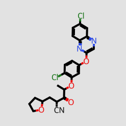 CC(Oc1cc(Oc2cnc3cc(Cl)ccc3n2)ccc1Cl)C(=O)C(C#N)CC1CCCO1